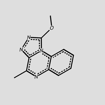 COc1nnc2c(C)nc3ccccc3n12